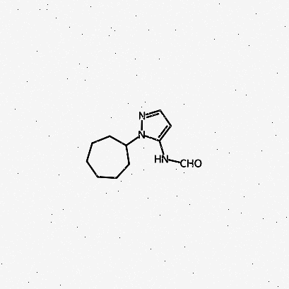 O=CNc1ccnn1C1CCCCCC1